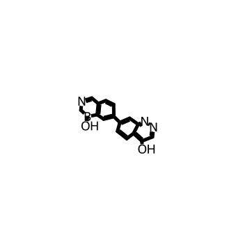 OB1CN=Cc2ccc(-c3ccc4c(O)cnnc4c3)cc21